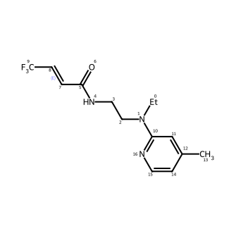 CCN(CCNC(=O)/C=C/C(F)(F)F)c1cc(C)ccn1